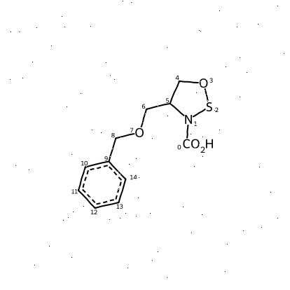 O=C(O)N1SOCC1COCc1ccccc1